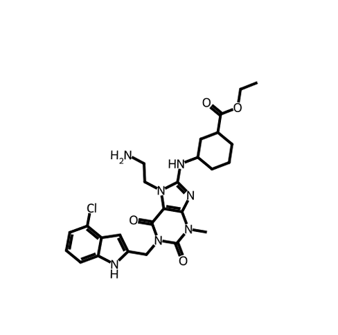 CCOC(=O)C1CCCC(Nc2nc3c(c(=O)n(Cc4cc5c(Cl)cccc5[nH]4)c(=O)n3C)n2CCN)C1